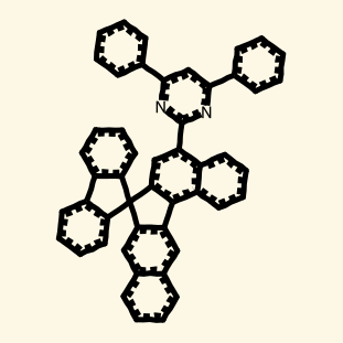 c1ccc(-c2cc(-c3ccccc3)nc(-c3cc4c(c5ccccc35)-c3cc5ccccc5cc3C43c4ccccc4-c4ccccc43)n2)cc1